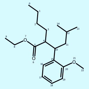 CCCCC(C(=O)OCC)C(CC(C)C)c1ccccc1OC